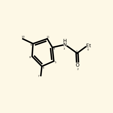 CCC(=O)Nc1cc(C)cc(C)c1